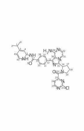 CC(C)C1=CC(NC(=O)c2ccc(-c3nc(C4CCCN4C(=O)c4ccnc(Cl)n4)n4ccnc(N)c34)cc2)NC=C1